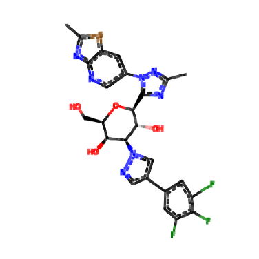 Cc1nc([C@@H]2O[C@H](CO)[C@H](O)[C@H](n3cc(-c4cc(F)c(F)c(F)c4)cn3)[C@H]2O)n(-c2cnc3nc(C)sc3c2)n1